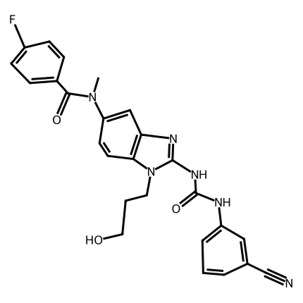 CN(C(=O)c1ccc(F)cc1)c1ccc2c(c1)nc(NC(=O)Nc1cccc(C#N)c1)n2CCCO